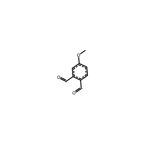 COc1ccc([C]=O)c([C]=O)c1